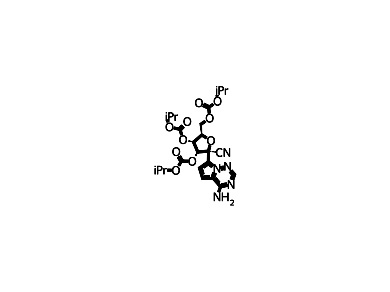 CC(C)OC(=O)OC[C@H]1O[C@@](C#N)(c2ccc3c(N)ncnn23)[C@H](OC(=O)OC(C)C)[C@@H]1OC(=O)OC(C)C